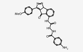 COc1ccc(C2=C3C(=O)c4c(NC(=O)NNC(=O)c5ccc(N)cc5)cccc4C3N=N2)cc1